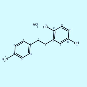 Cl.Nc1ccc(CCc2cc(O)ccc2O)cc1